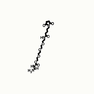 NNNC(=O)OCCOCCOCCOCCNC(=O)CCCCN1C(=O)C=CC1=O